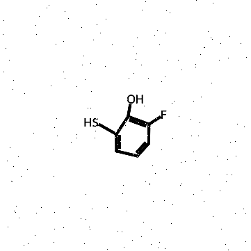 Oc1c(F)cccc1S